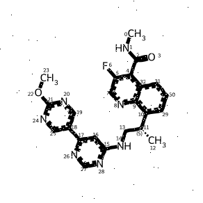 CNC(=O)c1c(F)cnc2c([C@H](C)CNc3cc(-c4cnc(OC)nc4)ncn3)cccc12